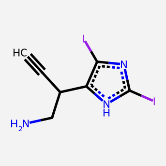 C#CC(CN)c1[nH]c(I)nc1I